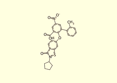 Cc1ccccc1-c1cc([N+](=O)[O-])cc(C(=O)O)c1Oc1ccc2c(=O)n(C3CCCC3)sc2c1